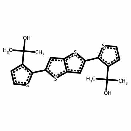 CC(C)(O)c1ccsc1-c1cc2sc(-c3sccc3C(C)(C)O)cc2s1